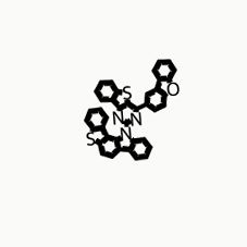 c1ccc2c(c1)oc1ccc(-c3nc(-n4c5ccccc5c5ccc6sc7ccccc7c6c54)nc4c3sc3ccccc34)cc12